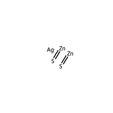 [Ag].[S]=[Zn].[S]=[Zn]